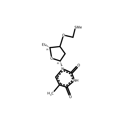 CC[C@H]1O[C@@H](n2cc(C)c(=O)[nH]c2=O)CC1OCSC